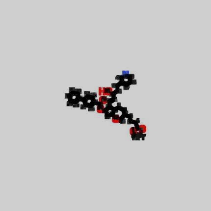 CCCOC(=O)CCCC1CCC2C(CC(OC(=O)c3ccc(-c4ccccc4)cc3)C2C=CC(O)CCc2cccnc2)OC1